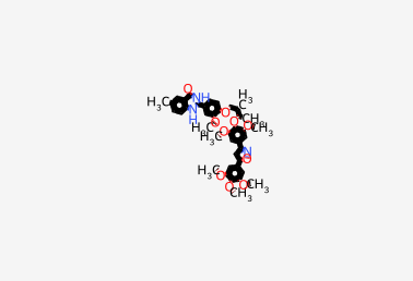 COc1cc(C2NC(=O)c3cc(C)ccc3N2)ccc1OCC(C)C(C)Oc1c(OC)cc(C2=NOC(c3cc(OC)c(OC)c(OC)c3)C2)cc1OC